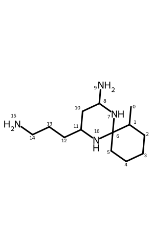 CC1CCCCC12NC(N)CC(CCCN)N2